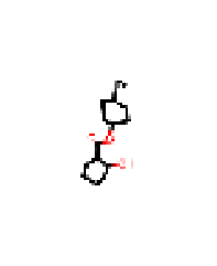 CC(C)C1CCC(OC(=O)C2CCCCC2O)CC1